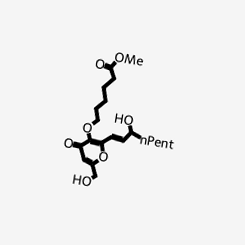 CCCCCC(O)C=Cc1oc(CO)cc(=O)c1OCCCCCC(=O)OC